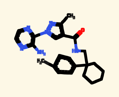 Cc1nn(-c2nccnc2N)cc1C(=O)NCC1(c2ccc(C(F)(F)F)cc2)CCCCC1